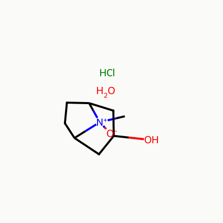 C[N+]1([O-])C2CCC1CC(O)C2.Cl.O